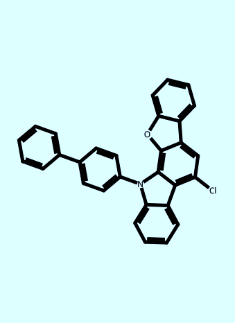 Clc1cc2c3ccccc3oc2c2c1c1ccccc1n2-c1ccc(-c2ccccc2)cc1